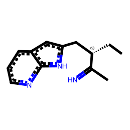 CC[C@@H](Cc1cc2cccnc2[nH]1)C(C)=N